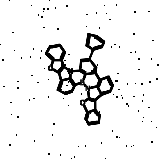 c1ccc(-c2cc3c4c(c2)-n2c5c(cccc5c5oc6ccccc6c52)B4n2c4oc5ccccc5c4c4cccc-3c42)cc1